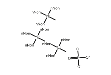 CCCCCCCCC[N+](C)(CCCCCCCCC)CCCCCCCCC.CCCCCCCCC[N+](C)(CCCCCCCCC)CCCCCCCCC.CCCCCCCCC[N+](C)(CCCCCCCCC)CCCCCCCCC.O=P([O-])([O-])[O-]